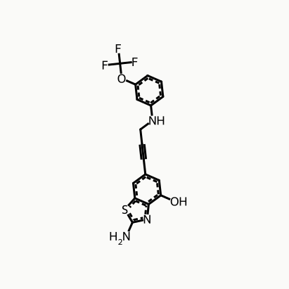 Nc1nc2c(O)cc(C#CCNc3cccc(OC(F)(F)F)c3)cc2s1